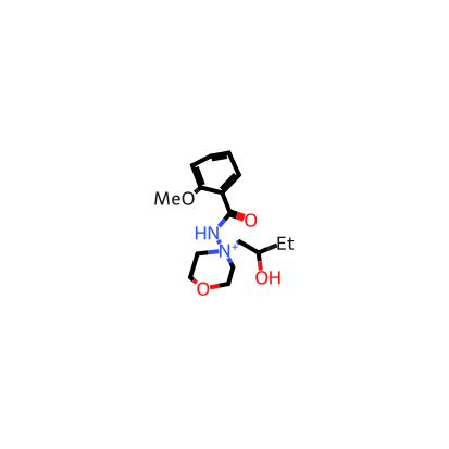 CCC(O)C[N+]1(NC(=O)c2ccccc2OC)CCOCC1